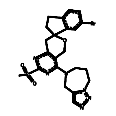 CS(=O)(=O)c1nc2c(c(N3CCCn4nncc4C3)n1)COC1(CCc3ccc(Br)cc31)C2